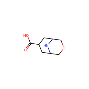 O=C(O)C1CC2COCC(C1)N2